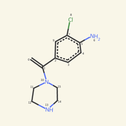 C=C(c1ccc(N)c(Cl)c1)N1CCNCC1